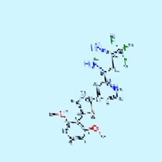 COc1cccc(OC)c1-c1ccc(-c2ccnc(C(N)CC(=N)C(F)(F)F)c2)s1